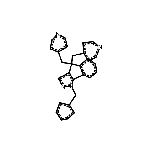 c1ccc(Cn2ncc3c2-c2ccccc2C3(Cc2ccncc2)Cc2ccncc2)cc1